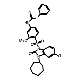 COc1cc(NC(=O)Oc2ccccc2)ccc1S(=O)(=O)n1c(=O)n(C2CCCCCC2)c2cc(Cl)ccc21